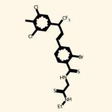 CCNC(=S)CNC(=S)c1ccc(/C=C/C(c2cc(Cl)c(C)c(Cl)c2)C(F)(F)F)cc1Br